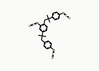 CC(C)(Cc1ccc(N=C=O)cc1)c1ccc(CC(C)(C)c2ccc(N=C=O)cc2)c(N=C=O)c1